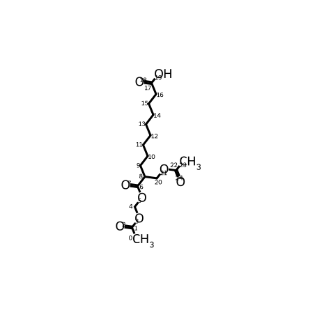 CC(=O)OCOC(=O)C(CCCCCCCCC(=O)O)COC(C)=O